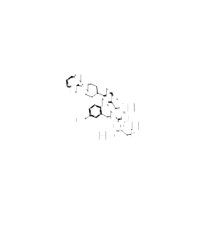 CC1c2nnc(C3CCN(c4ncccn4)CC3)n2-c2ccc(Cl)cc2CN1C(=O)OC(C)(C)CF